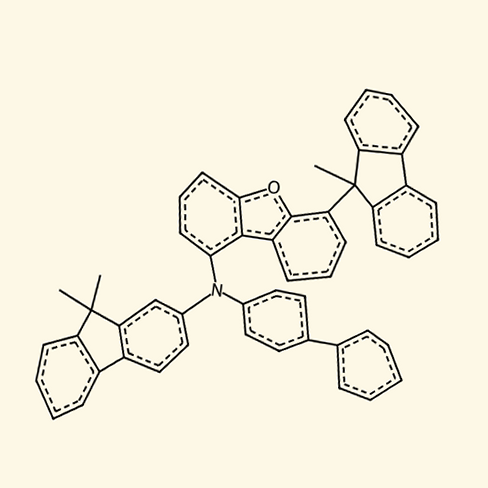 CC1(C)c2ccccc2-c2ccc(N(c3ccc(-c4ccccc4)cc3)c3cccc4oc5c(C6(C)c7ccccc7-c7ccccc76)cccc5c34)cc21